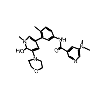 Cc1ccc(NC(=O)c2cncc(N(C)C)c2)cc1C1=CN(C)C(O)C(N2CCOCC2)=C1